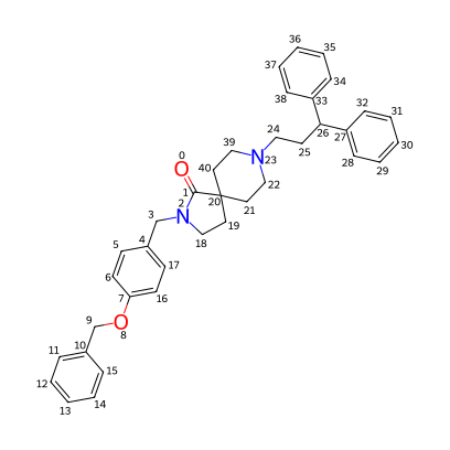 O=C1N(Cc2ccc(OCc3ccccc3)cc2)CCC12CCN(CCC(c1ccccc1)c1ccccc1)CC2